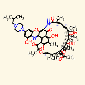 CC(=O)O[C@H]1[C@H](C)[C@H](O)[C@H](C)[C@@H](O)[C@@H](C)/C=C/C=C(/C)C(=O)Nc2c3oc4cc(N5CCN(CC(C)C)CC5)cc(O)c4nc-3c3c4c(c(C)c(O)c3c2=O)O[C@](C)(O/C=C/[C@H](C)[C@H]1C)C4=O